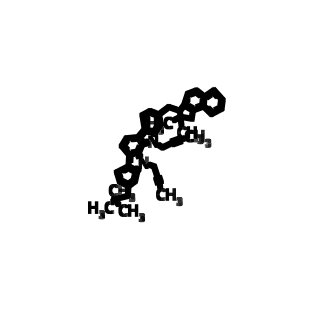 CC#CCn1c2cc(CC3c4ccc5ccccc5c4CC3(C)C)ccc2c2ccc3c4ccc(CC(C)(C)C)cc4n(CC#CC)c3c21